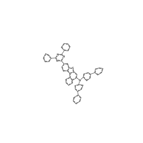 c1ccc(-c2ccc(N(c3ccc(-c4ccccc4)cc3)c3cc4sc5cc(-c6nc(-c7ccccc7)nc(-c7ccccc7)n6)ccc5c4c4ccccc34)cc2)cc1